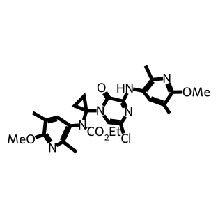 CCOC(=O)N(c1cc(C)c(OC)nc1C)C1(n2cc(Cl)nc(Nc3cc(C)c(OC)nc3C)c2=O)CC1